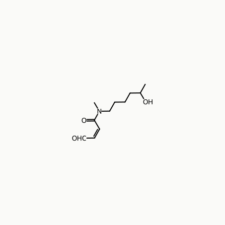 CC(O)CCCCN(C)C(=O)/C=C\C=O